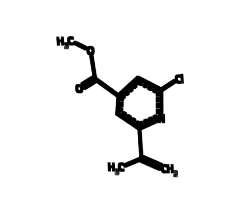 C=C(C)c1cc(C(=O)OC)cc(Cl)n1